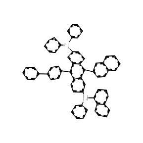 c1ccc(-c2ccc(-c3c4ccc(N(c5ccccc5)c5cccc6ccccc56)cc4c(-c4ccc5ccccc5c4)c4ccc(N(c5ccccc5)c5ccccc5)cc34)cc2)cc1